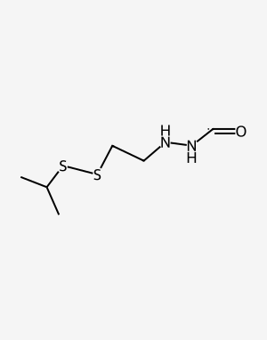 CC(C)SSCCNN[C]=O